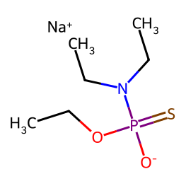 CCOP([O-])(=S)N(CC)CC.[Na+]